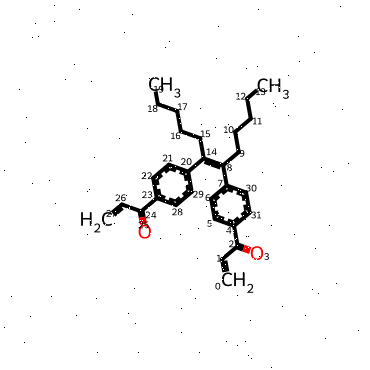 C=CC(=O)c1ccc(C(CCCCC)=C(CCCCC)c2ccc(C(=O)C=C)cc2)cc1